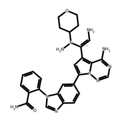 N/C=C(/c1cc(-c2ccc3ncn(-c4ccccc4C(N)=O)c3c2)n2ncnc(N)c12)N(N)C1CCOCC1